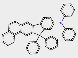 c1ccc(N(c2ccccc2)c2ccc3c(c2)C(c2ccccc2)(c2ccccc2)c2cc4c(ccc5ccccc54)cc2-3)cc1